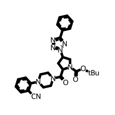 CC(C)(C)OC(=O)N1CC(n2nnc(-c3ccccc3)n2)CC1C(=O)N1CCN(c2ccccc2C#N)CC1